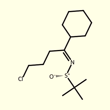 CC(C)(C)[S@+]([O-])N=C(CCCCl)C1CCCCC1